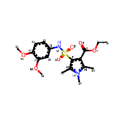 CCOC(=O)c1c(S(=O)(=O)Nc2ccc(OC)c(OC)c2)c(C)n(C)c1C